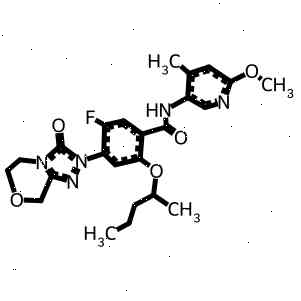 CCCC(C)Oc1cc(-n2nc3n(c2=O)CCOC3)c(F)cc1C(=O)Nc1cnc(OC)cc1C